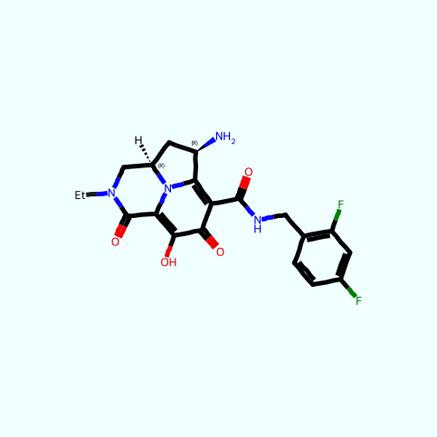 CCN1C[C@H]2C[C@@H](N)c3c(C(=O)NCc4ccc(F)cc4F)c(=O)c(O)c(n32)C1=O